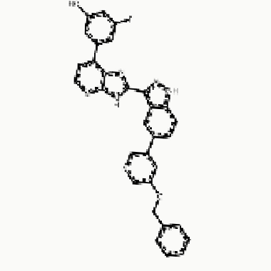 Oc1cc(F)cc(-c2ccnc3[nH]c(-c4n[nH]c5ccc(-c6cncc(OCc7ccccc7)c6)cc45)nc23)c1